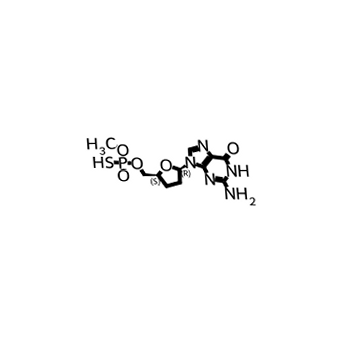 COP(=O)(S)OC[C@@H]1CC[C@H](n2cnc3c(=O)[nH]c(N)nc32)O1